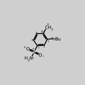 CCCCc1cc(S(N)(=O)=O)ccc1C